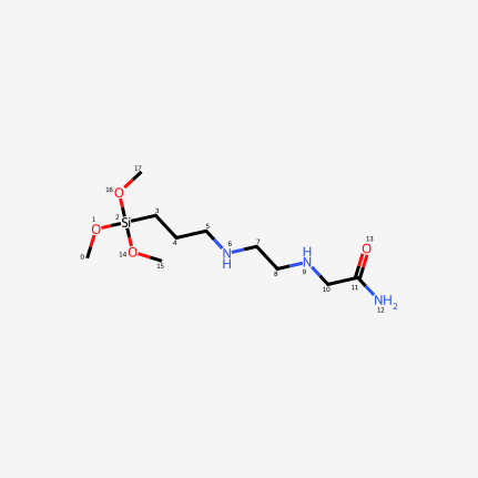 CO[Si](CCCNCCNCC(N)=O)(OC)OC